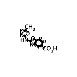 Cc1nnc(Nc2nc3cc(C(=O)O)ccc3o2)o1